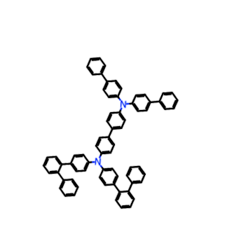 c1ccc(-c2ccc(N(c3ccc(-c4ccccc4)cc3)c3ccc(-c4ccc(N(c5ccc(-c6ccccc6-c6ccccc6)cc5)c5ccc(-c6ccccc6-c6ccccc6)cc5)cc4)cc3)cc2)cc1